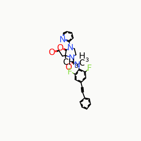 CN(C(=O)N1CCN(c2ccccn2)C(=O)C1(C)CC=O)c1c(F)cc(C#Cc2ccccc2)cc1F